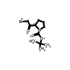 CC(C)(C)OC(=O)N1CCCC1C(=O)CBr